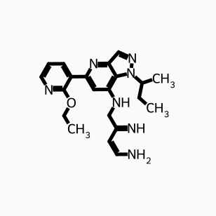 CCOc1ncccc1-c1cc(NCC(=N)/C=C\N)c2c(cnn2C(C)CC)n1